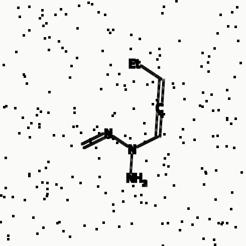 C=NN(N)C=C=CCC